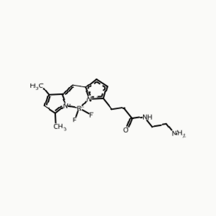 CC1=CC(C)=[N+]2C1=Cc1ccc(CCC(=O)NCCN)n1[B-]2(F)F